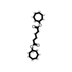 O=C(CCCCC(=O)OC1CCCCCC1)OC1CCCCCC1